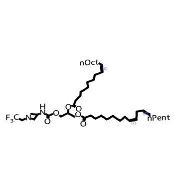 CCCCC/C=C\C/C=C\CCCCCCCC(=O)OCC(COC(=O)NC1CN(CC(F)(F)F)C1)OC(=O)CCCCCCC/C=C\CCCCCCCC